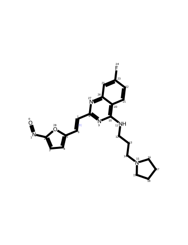 O=Nc1ccc(/C=C/c2nc(NCCCN3CCCC3)c3ccc(F)cc3n2)o1